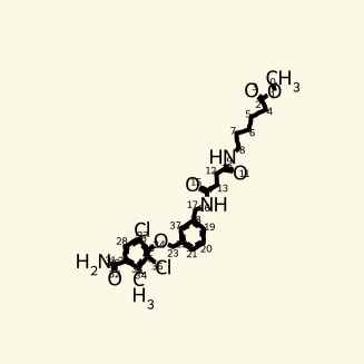 COC(=O)CCCCCNC(=O)CCC(=O)NCc1cccc(COc2c(Cl)cc(C(N)=O)c(C)c2Cl)c1